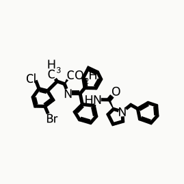 CC(c1cc(Br)ccc1Cl)[C@H](/N=C(\c1ccccc1)c1ccccc1NC(=O)[C@@H]1CCCN1Cc1ccccc1)C(=O)O